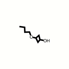 CCCCOC1CC(O)C1